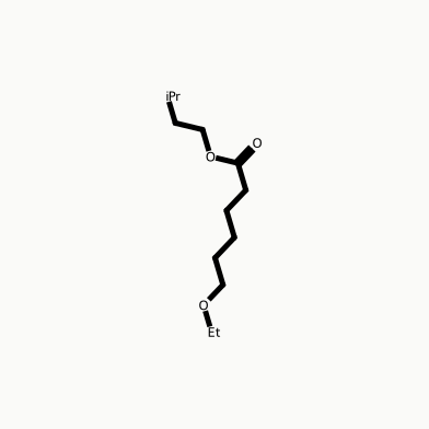 CCOCCCCCC(=O)OCCC(C)C